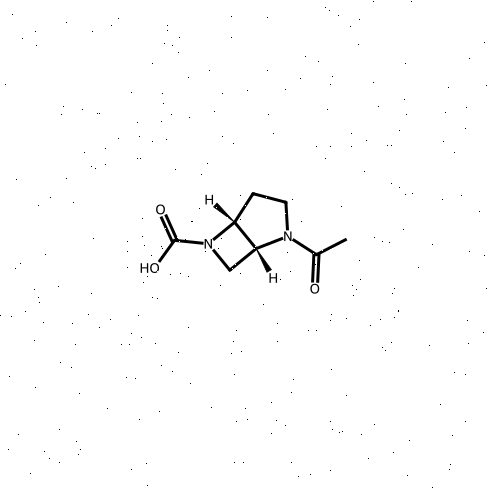 CC(=O)N1CC[C@@H]2[C@H]1CN2C(=O)O